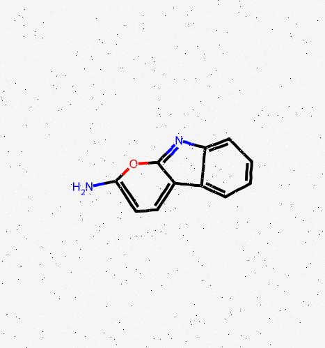 Nc1ccc2c3ccccc3nc-2o1